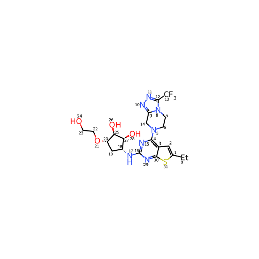 CCc1cc2c(N3CCn4c(nnc4C(F)(F)F)C3)nc(N[C@@H]3C[C@H](OCCO)[C@@H](O)[C@H]3O)nc2s1